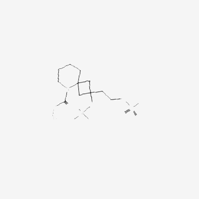 CC[Si](CC)(CC)OC1(CCOS(C)(=O)=O)CC2(CCCCN2C(=O)OC(C)(C)C)C1